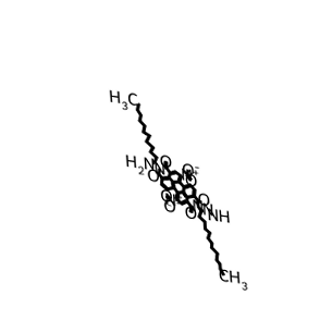 CCCCCCCCCCCCC(N)N1C(=O)c2ccc3c4c([N+](=O)[O-])cc5c6c(ccc(c7c([N+](=O)[O-])cc(c2c37)C1=O)c64)C(=O)N(C(CCCCCCCCCCCC)N=N)C5=O